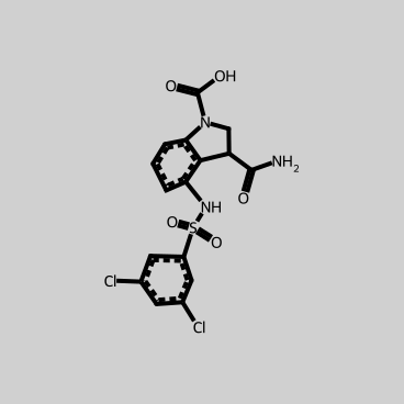 NC(=O)C1CN(C(=O)O)c2cccc(NS(=O)(=O)c3cc(Cl)cc(Cl)c3)c21